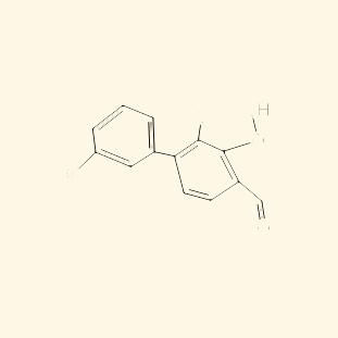 COc1c(C=O)ccc(-c2cccc(Br)c2)c1Cl